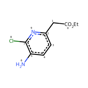 CCOC(=O)Cc1ccc(N)c(Cl)n1